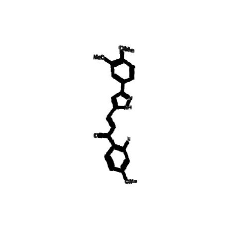 COc1ccc(C(=O)/C=C/c2cc(-c3ccc(OC)c(OC)c3)n[nH]2)c(F)c1